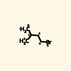 [CH2]C(C)CCBr